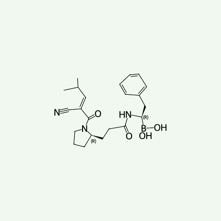 CC(C)C=C(C#N)C(=O)N1CCC[C@@H]1CCC(=O)N[C@@H](Cc1ccccc1)B(O)O